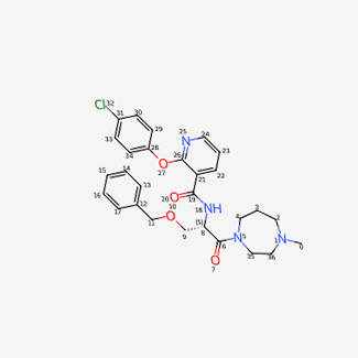 CN1CCCN(C(=O)[C@H](COCc2ccccc2)NC(=O)c2cccnc2Oc2ccc(Cl)cc2)CC1